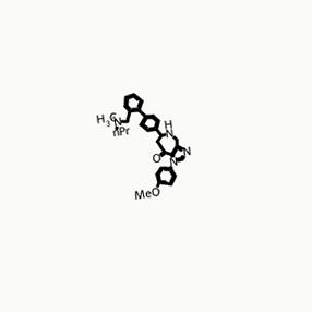 CCCN(C)Cc1ccccc1-c1ccc(C2CC(=O)c3c(ncn3-c3ccc(OC)cc3)CN2)cc1